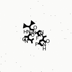 CC(C)c1nocc1C(=O)NC(C(=O)Nc1cnn(C(C)c2cc(F)c[nH]c2=O)c1F)C(C1CC1)C1CC1